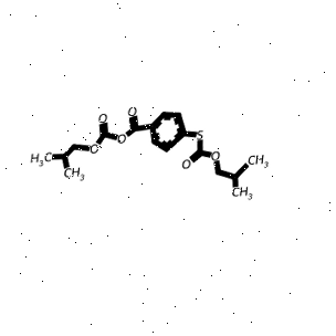 CC(C)COC(=O)OC(=O)c1ccc(SC(=O)OCC(C)C)cc1